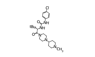 CN1CCC(N2CCN(C(=O)[C@H](NC(=O)Nc3ccc(Cl)cc3)C(C)(C)C)CC2)CC1